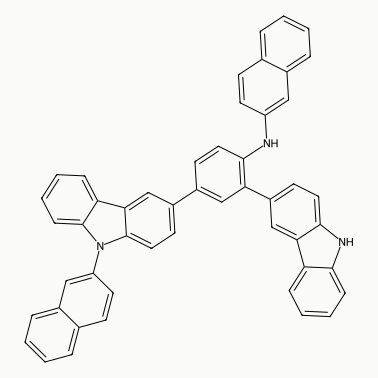 c1ccc2cc(Nc3ccc(-c4ccc5c(c4)c4ccccc4n5-c4ccc5ccccc5c4)cc3-c3ccc4[nH]c5ccccc5c4c3)ccc2c1